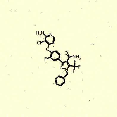 NC(=O)c1c(-c2ccc(Oc3ccnc(N)c3Cl)c(F)c2)nn(Cc2ccccc2)c1C(F)(F)F